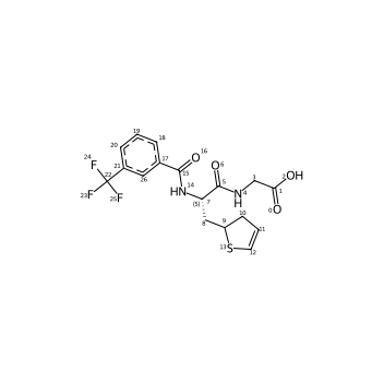 O=C(O)CNC(=O)[C@H](CC1CC=CS1)NC(=O)c1cccc(C(F)(F)F)c1